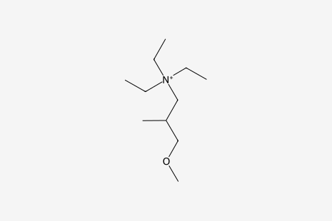 CC[N+](CC)(CC)CC(C)COC